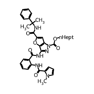 CCCCCCCOC(=O)n1nc(NC(=O)c2ccccc2NC(=O)c2cccn2C)c2oc(C(=O)NC(C)(C)c3ccccc3)cc21